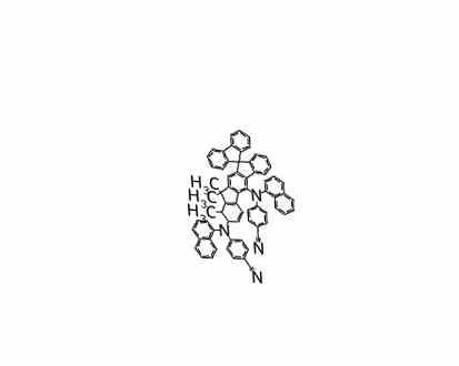 CC1C2=C(C=CC1N(c1ccc(C#N)cc1)c1cccc3ccccc13)c1c(cc3c(c1N(c1ccc(C#N)cc1)c1cccc4ccccc14)-c1ccccc1C31c3ccccc3-c3ccccc31)C2(C)C